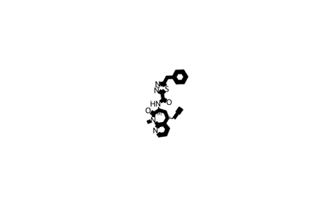 C#CC[C@H]1C[C@@H](NC(=O)c2nnc(Cc3ccccc3)s2)C(=O)N(C)c2ncccc21